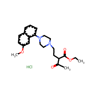 CCOC(=O)C(CCN1CCN(c2cccc3ccc(OC)cc23)CC1)C(C)=O.Cl